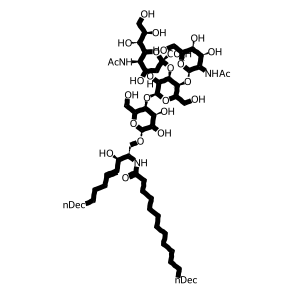 CCCCCCCCCCCCC/C=C/[C@@H](O)[C@H](CO[C@@H]1OC(CO)[C@@H](O[C@@H]2OC(CO)[C@H](O[C@@H]3OC(CO)[C@H](O)[C@H](O)C3NC(C)=O)[C@H](O[C@]3(C(=O)O)CC(O)[C@@H](NC(C)=O)C([C@H](O)[C@H](O)CO)O3)C2O)[C@H](O)C1O)NC(=O)CCCCCCCCCCCCCCCCCCCCC